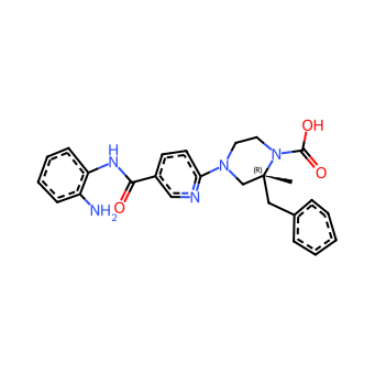 C[C@@]1(Cc2ccccc2)CN(c2ccc(C(=O)Nc3ccccc3N)cn2)CCN1C(=O)O